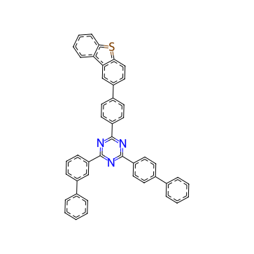 c1ccc(-c2ccc(-c3nc(-c4ccc(-c5ccc6sc7ccccc7c6c5)cc4)nc(-c4cccc(-c5ccccc5)c4)n3)cc2)cc1